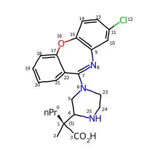 CCC[C@](C)(C(=O)O)C1CN(C2=Nc3cc(Cl)ccc3Oc3ccccc32)CCN1